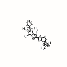 CC(C)(c1ccncc1)c1cc(Cl)cc(NC(=O)c2cc3cc(NS(C)(=O)=O)ccc3s2)c1